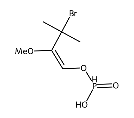 COC(=CO[PH](=O)O)C(C)(C)Br